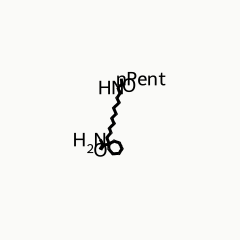 CCCCCC(=O)NCCCCCCCCCCC1(C(N)=O)CCCCCC1